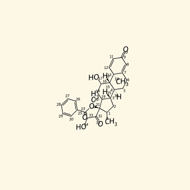 CC1C[C@H]2[C@@H]3CCC4=CC(=O)C=C[C@]4(C)[C@H]3C(O)C[C@]2(C)[C@@]1(OC(=O)c1ccccc1)C(=O)CO